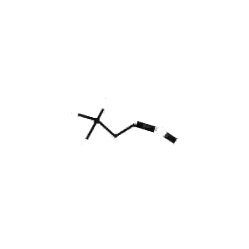 C=C=CCC(F)(F)F